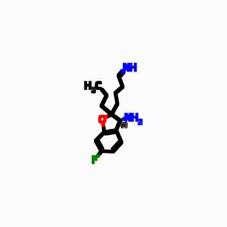 CCCC1(CCCC=N)Oc2cc(F)ccc2[C@H]1N